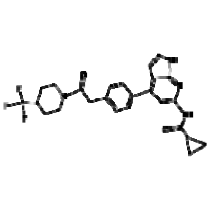 O=C(Nc1cc(-c2ccc(CC(=O)N3CCC(C(F)(F)F)CC3)cc2)c2cc[nH]c2n1)C1CC1